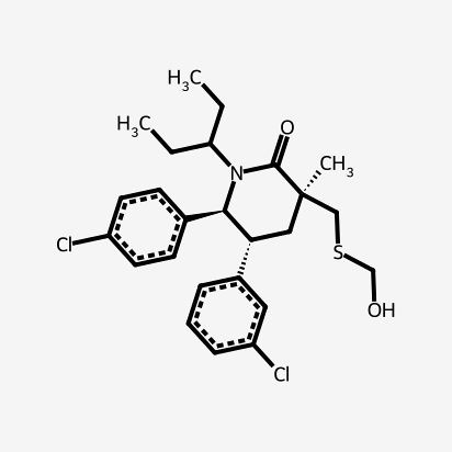 CCC(CC)N1C(=O)[C@@](C)(CSCO)C[C@H](c2cccc(Cl)c2)[C@H]1c1ccc(Cl)cc1